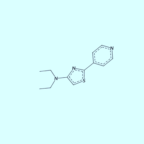 CCN(CC)c1csc(-c2ccncc2)n1